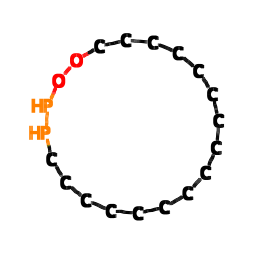 C1CCCCCCCCPPOOCCCCCCC1